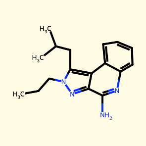 CCCn1nc2c(N)nc3ccccc3c2c1CC(C)C